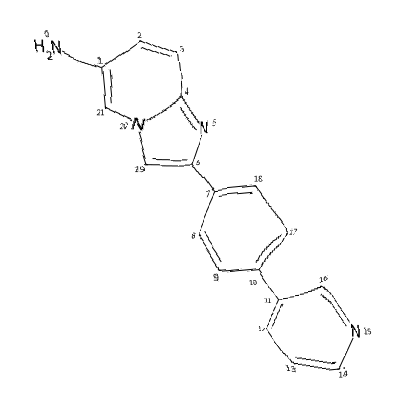 Nc1ccc2nc(-c3ccc(-c4cc[c]nc4)cc3)cn2c1